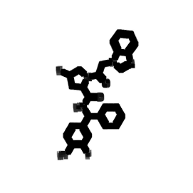 CC(C)c1ccc(C(NC(=O)C2CC(F)CN2C(=O)Cn2cnc3ccccc32)c2ccccc2)cc1F